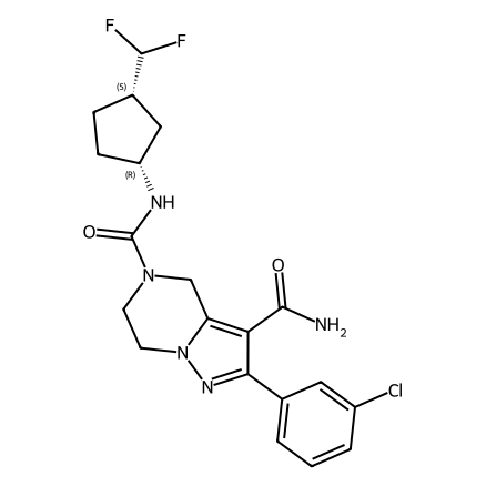 NC(=O)c1c(-c2cccc(Cl)c2)nn2c1CN(C(=O)N[C@@H]1CC[C@H](C(F)F)C1)CC2